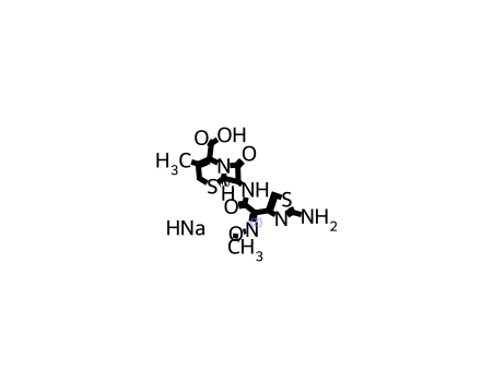 CO/N=C(\C(=O)NC1C(=O)N2C(C(=O)O)=C(C)CS[C@H]12)c1csc(N)n1.[NaH]